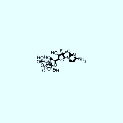 C#C[C@H](OP(=O)(O)OP(=O)(O)OP(=O)(O)O)[C@H]1O[C@@H](n2ccc(N)nc2=O)C(F)(F)[C@@H]1O